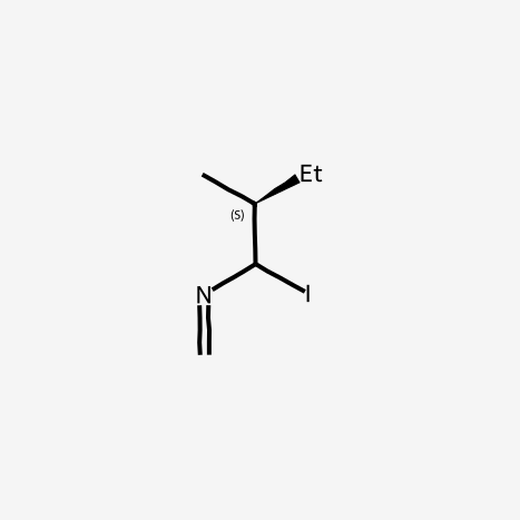 C=NC(I)[C@@H](C)CC